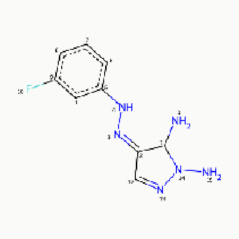 NC1C(=NNc2cccc(F)c2)C=NN1N